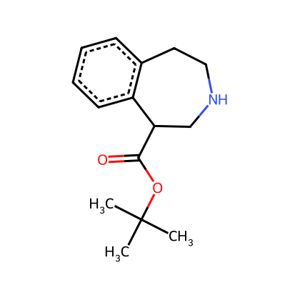 CC(C)(C)OC(=O)C1CNCCc2ccccc21